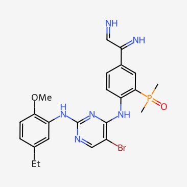 CCc1ccc(OC)c(Nc2ncc(Br)c(Nc3ccc(C(=N)C=N)cc3P(C)(C)=O)n2)c1